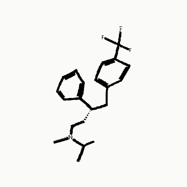 CC(C)N(C)CC[C@@H](Cc1ccc(C(F)(F)F)cc1)c1ccccc1